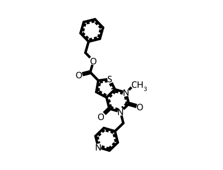 Cn1c(=O)n(Cc2ccncc2)c(=O)c2cc(C(=O)OCc3ccccc3)sc21